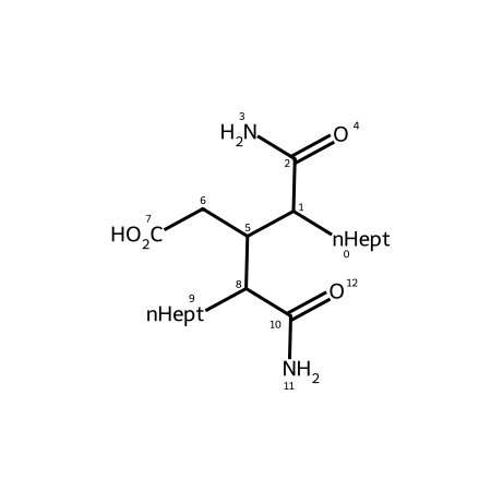 CCCCCCCC(C(N)=O)C(CC(=O)O)C(CCCCCCC)C(N)=O